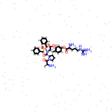 C[C@H](N)C(=O)N1CCC[C@H]1C(=O)N([C@@H](Cc1ccc(OC(=O)[C@@H](N)CCCNC(=N)N)cc1)C(=O)O)P(=O)(Cc1ccccc1)Cc1ccccc1